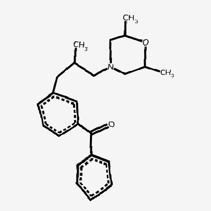 CC(Cc1cccc(C(=O)c2ccccc2)c1)CN1CC(C)OC(C)C1